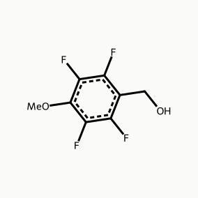 COc1c(F)c(F)c(CO)c(F)c1F